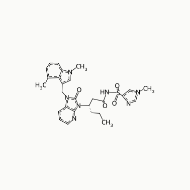 CCC[C@@H](CC(=O)NS(=O)(=O)c1cn(C)cn1)n1c(=O)n(Cc2cn(C)c3cccc(C)c23)c2cccnc21